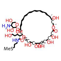 CSCCCNC(=O)[C@@H]([C@@H]1CC(O[C@@H]2OC[C@@H](O)[C@H](N)[C@@H]2O)/C=C/C=C/C=C/C=C/C=C/C=C/C=C/[C@H](C)[C@@H](O)C[C@H](C)OC(=O)CC(O)CC(O)CCC(O)C(O)CC(O)CCO1)[C@@H](O)CCO